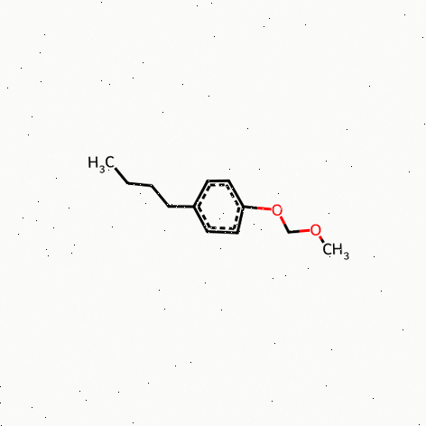 CCCCc1ccc(OCOC)cc1